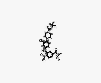 CON(C)C(=O)c1ccc([N+](=O)[O-])c(Nc2ccc(N3CCN(C(=O)OC(C)(C)C)CC3)c(Cl)c2)c1